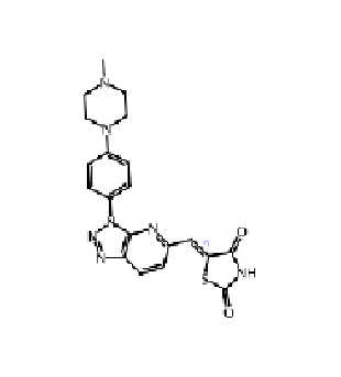 CN1CCN(c2ccc(-n3nnc4ccc(/C=C5\SC(=O)NC5=O)nc43)cc2)CC1